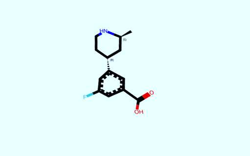 C[C@H]1C[C@H](c2cc(F)cc(C(=O)O)c2)CCN1